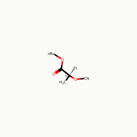 CCCCOC(=O)[C@@](C)(CC)OC#N